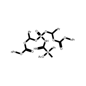 CCCOC(=O)OC(OP(=O)(NC(=N)[N+](C)(OC(C)=O)C(C)C)OC(OC(=O)OCCC)C(C)C)C(C)C